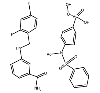 CC(=O)N(c1ccc([As](=O)(O)OO)cc1)S(=O)(=O)c1ccccc1.NC(=O)c1cccc(NCc2ccc(F)cc2F)c1